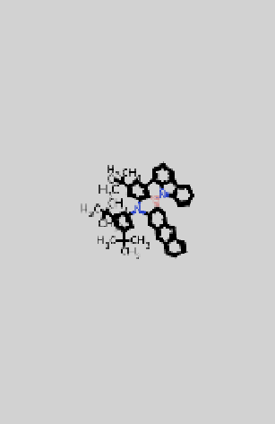 CC(C)(C)c1cc(N2c3cc4cc5ccccc5cc4cc3B3c4c(cc(C(C)(C)C)cc42)-c2cccc4c5ccccc5n3c24)cc(C(C)(C)C)c1